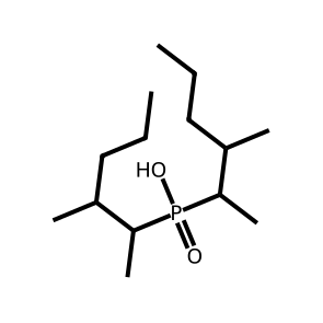 CCCC(C)C(C)P(=O)(O)C(C)C(C)CCC